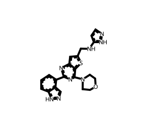 c1cc(-c2nc(N3CCOCC3)c3sc(CNc4ccn[nH]4)cc3n2)c2cn[nH]c2c1